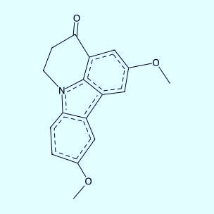 COc1ccc2c(c1)c1cc(OC)cc3c1n2CCC3=O